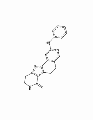 O=C1NCCn2nc3c(c21)CCc1cnc(Nc2ccccc2)cc1-3